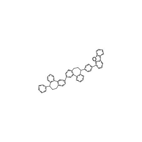 c1ccc(C2CCc3ccc(-c4ccc5c(c4)-c4ccccc4C(c4ccc(-c6cccc7c6oc6ccccc67)cc4)CC5)cc3-c3ccccc32)cc1